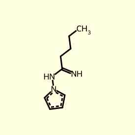 CCCCC(=N)Nn1cccc1